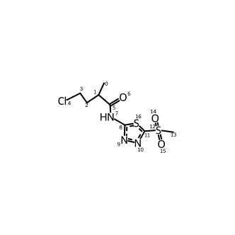 CC(CCCl)C(=O)Nc1nnc(S(C)(=O)=O)s1